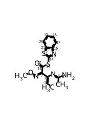 C/C=C(\N=C(/C)N)C(=N/OC)/C(=O)Sc1nc2ccccc2s1